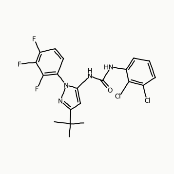 CC(C)(C)c1cc(NC(=O)Nc2cccc(Cl)c2Cl)n(-c2ccc(F)c(F)c2F)n1